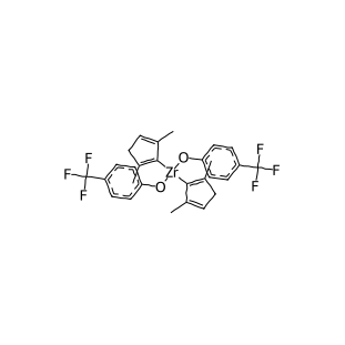 CC1=CCC(C)=[C]1[Zr]([O]c1ccc(C(F)(F)F)cc1)([O]c1ccc(C(F)(F)F)cc1)[C]1=C(C)CC=C1C